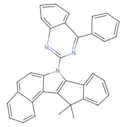 CC1(C)c2ccccc2-c2c1c1c3ccccc3ccc1n2-c1nc(-c2ccccc2)c2ccccc2n1